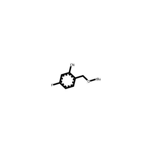 CC(C)(C)OCc1ccc(F)cc1C#N